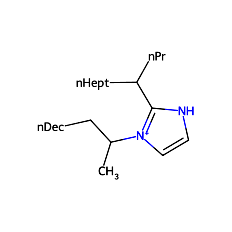 CCCCCCCCCCCC(C)[n+]1cc[nH]c1C(CCC)CCCCCCC